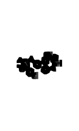 Cc1oc(-c2ccc(Cl)cc2)nc1C1(CNC2CC2c2cccc(-c3ccc4c(C5(CNC6CC6c6ccccc6)CCC5)noc4c3)c2)CC1